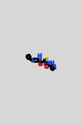 O=C(Nc1nc(C(=O)NC2CCN(Cc3ccccc3)CC2)cs1)c1cccnc1